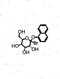 OC[C@H]1OC(Br)(Oc2cccc3ccccc23)[C@H](O)[C@@H](O)[C@H]1O